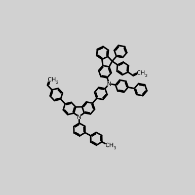 C=Cc1ccc(-c2ccc3c(c2)c2cc(-c4ccc(N(c5ccc(-c6ccccc6)cc5)c5ccc6c(c5)C(c5ccccc5)(c5ccc(C=C)cc5)c5ccccc5-6)cc4)ccc2n3-c2cccc(-c3ccc(C)cc3)c2)cc1